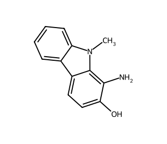 Cn1c2ccccc2c2ccc(O)c(N)c21